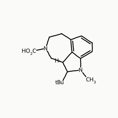 CN1c2cccc3c2[C@H](CN(C(=O)O)CC3)C1C(C)(C)C